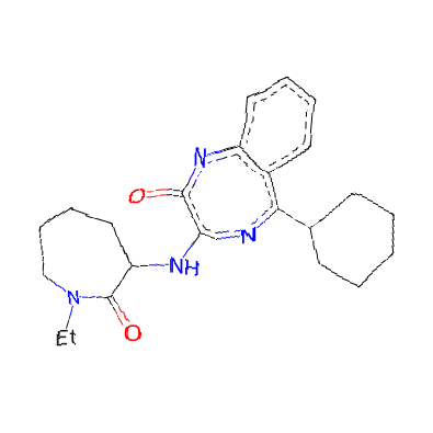 CCN1CCCCC(Nc2nc(C3CCCCC3)c3ccccc3nc2=O)C1=O